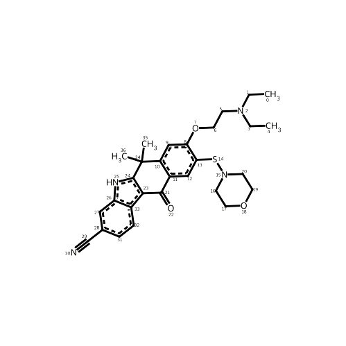 CCN(CC)CCOc1cc2c(cc1SN1CCOCC1)C(=O)c1c([nH]c3cc(C#N)ccc13)C2(C)C